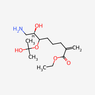 C=C(CCCC(OC(C)(C)O)[C@H](O)CN)C(=O)OCC